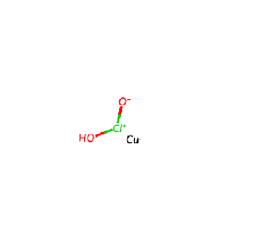 [Cu].[O-][Cl+]O